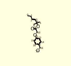 CCC=CC(C)(C)OC(=O)COc1ccc(C[O])cc1